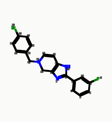 Fc1cccc(-c2nc3c([nH]2)C=CN(Cc2ccc(Br)cc2)C3)c1